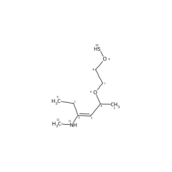 CC/C(=C\C(C)OCCOS)NC